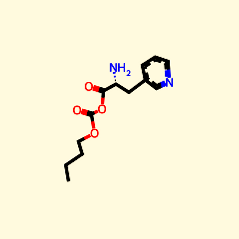 CCCCOC(=O)OC(=O)[C@H](N)Cc1cccnc1